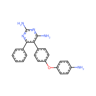 Nc1ccc(Oc2ccc(-c3c(N)nc(N)nc3-c3ccccc3)cc2)cc1